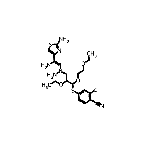 CCOCCOC(Sc1ccc(C#N)c(Cl)c1)[C@H](CN(N)/C=C(\N)c1csc(N)n1)OCC